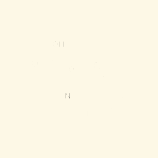 O=C(O)c1cnc(-c2c(F)cccc2Cl)o1